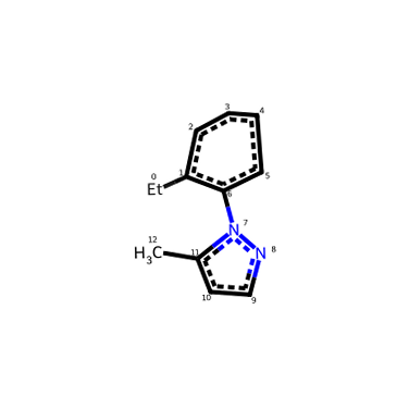 CCc1ccccc1-n1nccc1C